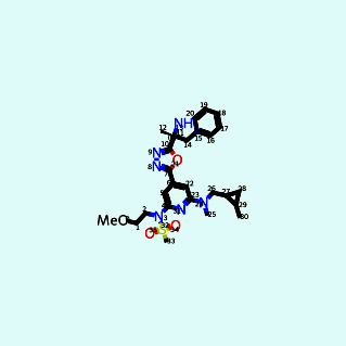 COCCN(c1cc(-c2nnc([C@](C)(N)Cc3ccccc3)o2)cc(N(C)CC2CC2C)n1)S(C)(=O)=O